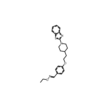 CCON=Cc1ccc(OCCC2CCN(c3nc4ccccc4s3)CC2)cc1